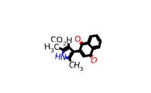 Cc1[nH]c(C)c(C2=CC(=O)c3ccccc3C2=O)c1C(=O)O